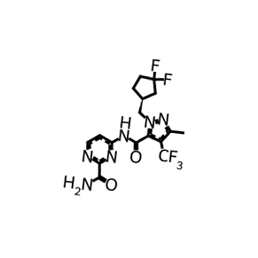 Cc1nn(C[C@H]2CCC(F)(F)C2)c(C(=O)Nc2ccnc(C(N)=O)n2)c1C(F)(F)F